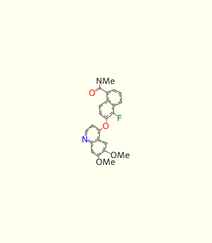 CNC(=O)c1cccc2c(F)c(Oc3ccnc4cc(OC)c(OC)cc34)ccc12